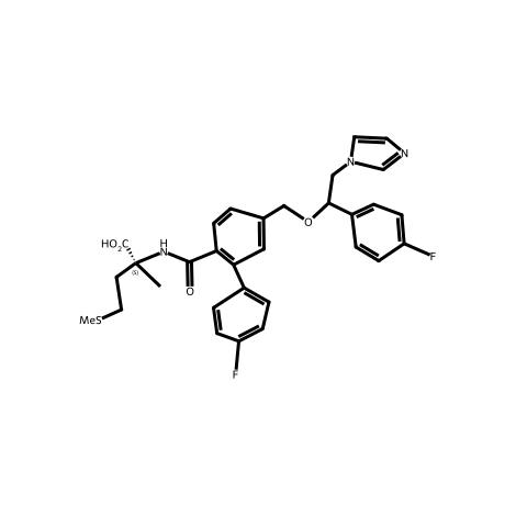 CSCC[C@](C)(NC(=O)c1ccc(COC(Cn2ccnc2)c2ccc(F)cc2)cc1-c1ccc(F)cc1)C(=O)O